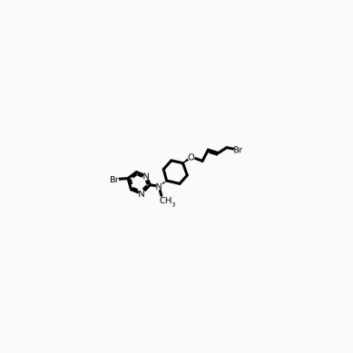 CN(c1ncc(Br)cn1)[C@H]1CC[C@H](OCC=CCBr)CC1